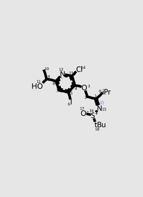 CC(C)/C(COc1c(I)cc(C(C)O)nc1Cl)=N/[S+]([O-])C(C)(C)C